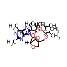 Cc1nc(C)c2ncn([C@@H]3O[C@@]45CO[C@H]3C4O[Si](C(C)C)(C(C)C)O[Si](C(C)C)(C(C)C)OC5)c2n1